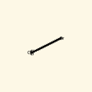 Cl[Si](Cl)(Cl)CCCCCCCCCCCCCCCCCCCCCCCCCCCCCCCCCCBr